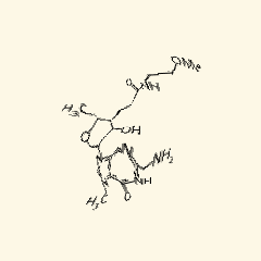 COCCNC(=O)CC[C@@H]1[C@@H](C)OC(n2c[n+](C)c3c(=O)[nH]c(N)nc32)[C@@H]1O